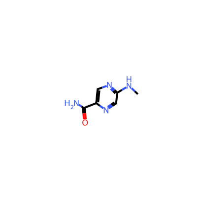 CNc1cnc(C(N)=O)cn1